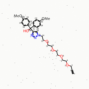 C#CCOCCOCCOCCOCCn1cc(C(O)(c2ccc(OC)cc2)c2ccc(OC)cc2)nn1